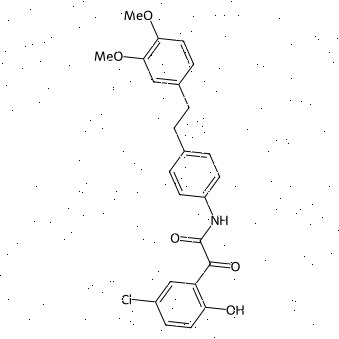 COc1ccc(CCc2ccc(NC(=O)C(=O)c3cc(Cl)ccc3O)cc2)cc1OC